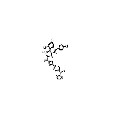 C=C(C(=O)N1CC(N2CCN(C(=O)c3nccs3)CC2)C1)/C(C)=C(/C(C)=C/c1ccc(Cl)cc1)N(N)c1ccc(Cl)cc1Cl